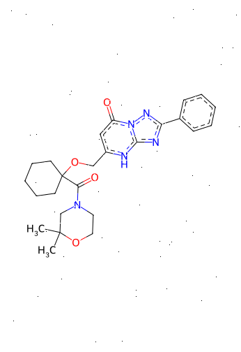 CC1(C)CN(C(=O)C2(OCc3cc(=O)n4nc(-c5ccccc5)nc4[nH]3)CCCCC2)CCO1